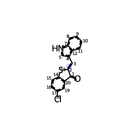 O=C1/C(=C/c2c[nH]c3ccccc23)Sc2ccc(Cl)cc21